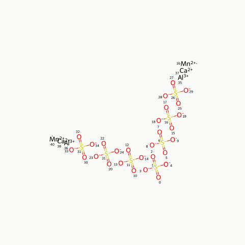 O=S(=O)([O-])[O-].O=S(=O)([O-])[O-].O=S(=O)([O-])[O-].O=S(=O)([O-])[O-].O=S(=O)([O-])[O-].O=S(=O)([O-])[O-].O=S(=O)([O-])[O-].[Al+3].[Al+3].[Ca+2].[Ca+2].[Mn+2].[Mn+2]